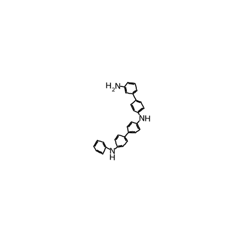 Nc1cccc(-c2ccc(Nc3ccc(-c4ccc(Nc5ccccc5)cc4)cc3)cc2)c1